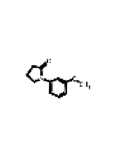 COc1cccc(N2C[CH]CC2=O)c1